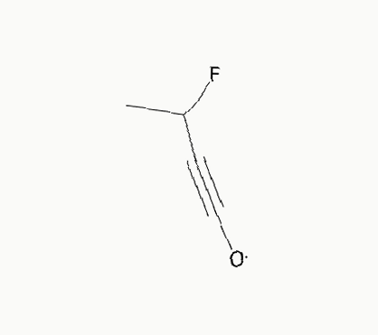 CC(F)C#C[O]